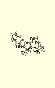 CC[C@@H](Sc1nc(N)nc2nc[nH]c12)C(=O)Nc1ccc2scnc2c1